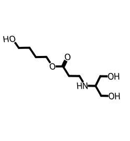 O=C(CCNC(CO)CO)OCCCCO